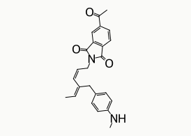 C/C=C(\C=C/CN1C(=O)c2ccc(C(C)=O)cc2C1=O)Cc1ccc(NC)cc1